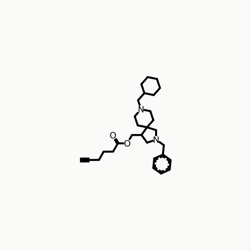 C#CCCCC(=O)OCC1CN(Cc2ccccc2)CC12CCN(CC1CCCCC1)CC2